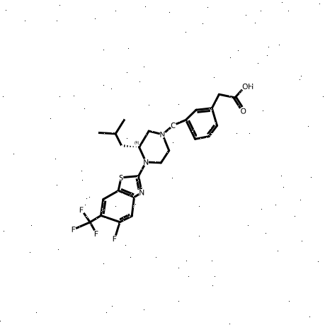 CC(C)C[C@@H]1CN(Cc2cccc(CC(=O)O)c2)CCN1c1nc2cc(F)c(C(F)(F)F)cc2s1